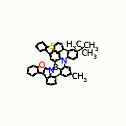 Cc1cc2c3c(c1)N(c1ccc(C(C)(C)C)cc1-c1ccccc1)c1cc4sc5ccccc5c4cc1B3n1c3oc4ccccc4c3c3cccc-2c31